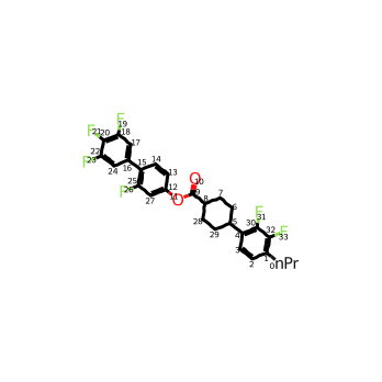 CCCc1ccc(C2CCC(C(=O)Oc3ccc(-c4cc(F)c(F)c(F)c4)c(F)c3)CC2)c(F)c1F